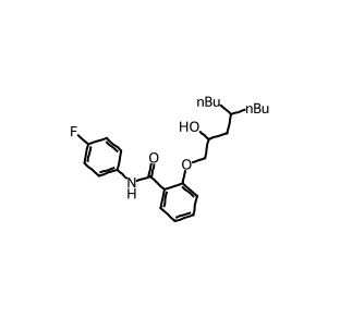 CCCCC(CCCC)CC(O)COc1ccccc1C(=O)Nc1ccc(F)cc1